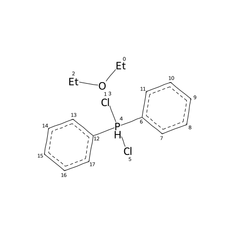 CCOCC.Cl[PH](Cl)(c1ccccc1)c1ccccc1